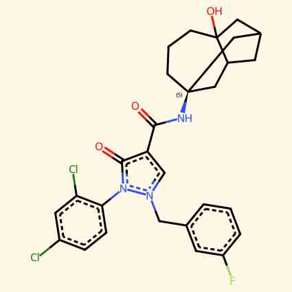 O=C(N[C@]12CCCC3(O)CC(CC3C1)C2)c1cn(Cc2cccc(F)c2)n(-c2ccc(Cl)cc2Cl)c1=O